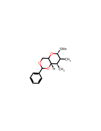 CS[C@@H]1OC2COC(c3ccccc3)O[C@H]2[C@H](C)C1C